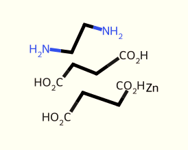 NCCN.O=C(O)CCC(=O)O.O=C(O)CCC(=O)O.[Zn]